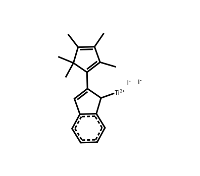 CC1=C(C)C(C)(C)C(C2=Cc3ccccc3[CH]2[Ti+2])=C1C.[I-].[I-]